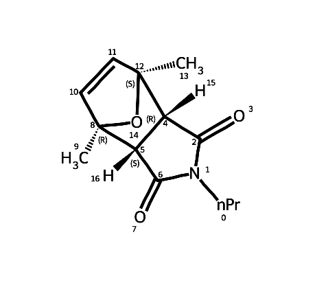 CCCN1C(=O)[C@@H]2[C@H](C1=O)[C@@]1(C)C=C[C@]2(C)O1